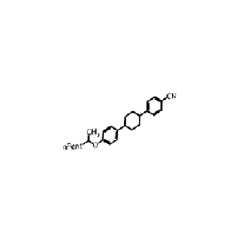 CCCCCC(C)Oc1ccc(C2CCC(c3ccc(C#N)cc3)CC2)cc1